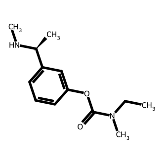 CCN(C)C(=O)Oc1cccc([C@H](C)NC)c1